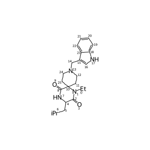 CCN1C(=O)C(CC(C)C)NC(=O)C12CCN(Cc1c[nH]c3ccccc13)CC2